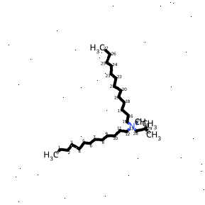 CCCCCCCCCCCCC[N+](C)(CCCCCCCCCCCCC)CC(C)C